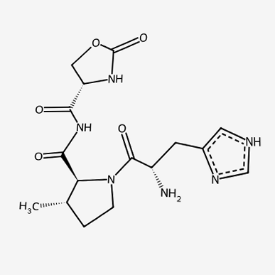 C[C@H]1CCN(C(=O)[C@@H](N)Cc2c[nH]cn2)[C@@H]1C(=O)NC(=O)[C@@H]1COC(=O)N1